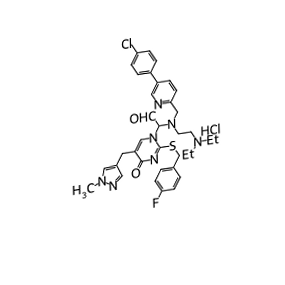 CCN(CC)CCN(Cc1ccc(-c2ccc(Cl)cc2)cn1)C(C=O)n1cc(Cc2cnn(C)c2)c(=O)nc1SCc1ccc(F)cc1.Cl